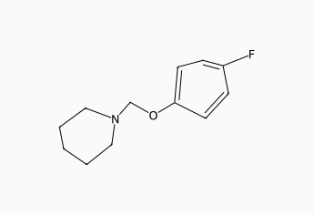 Fc1ccc(OCN2CCCCC2)cc1